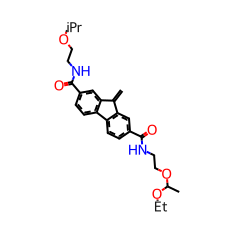 C=C1c2cc(C(=O)NCCOC(C)C)ccc2-c2ccc(C(=O)NCCOC(C)OCC)cc21